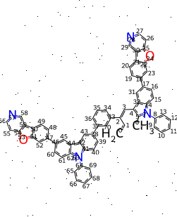 C=C/C(=C\c1c(C)n(-c2ccccc2)c2ccc(-c3ccc4c(c3)oc3ccncc34)cc12)c1cccc(-c2ccc3c(c2)c2cc(-c4ccc5c(c4)oc4ccncc45)ccc2n3-c2ccccc2)c1